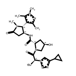 Cc1nn(C)c(C)c1[C@@H]1[C@@H](NC(=O)[C@@H]2C[C@@H](O)CN2C(=O)[C@@H](n2cc(C3CC3)nn2)C(C)(C)C)CC(=O)N1C